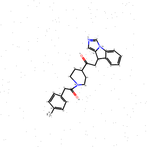 O=C(CC1c2ccccc2-n2cncc21)C1CCN(C(=O)Cc2ccc(C(F)(F)F)cc2)CC1